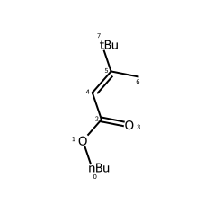 CCCCOC(=O)/C=C(\C)C(C)(C)C